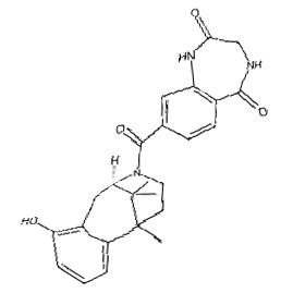 CC12CCN(C(=O)c3ccc4c(c3)NC(=O)CNC4=O)[C@H](Cc3c(O)cccc31)C2(C)C